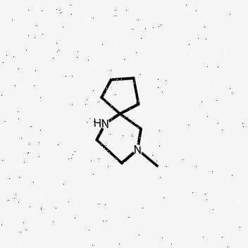 CN1CCNC2(CCCC2)C1